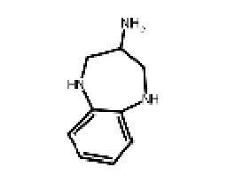 NC1CNc2ccccc2NC1